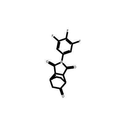 O=C1CC2=C3C(=O)N(c4cc(F)c(F)c(F)c4)C(=O)C3C1CC2